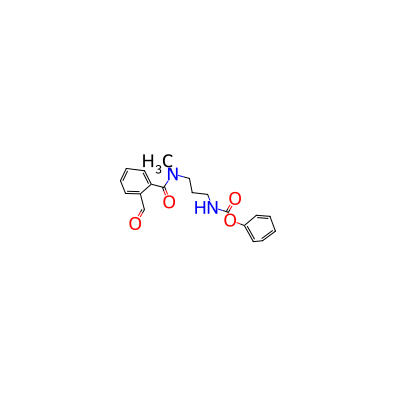 CN(CCCNC(=O)Oc1ccccc1)C(=O)c1ccccc1C=O